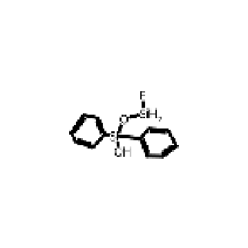 O[Si](O[SiH2]F)(c1ccccc1)c1ccccc1